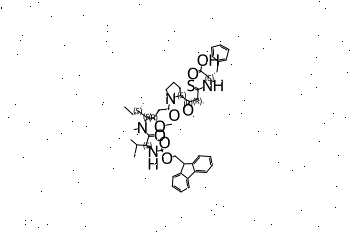 CC[C@H](C)[C@@H]([C@@H](CC(=O)N1CCC[C@H]1[C@H](OC)[C@@H](C)C(=S)N[C@@H](Cc1ccccc1)C(=O)O)OC)N(C)C(=O)[C@@H](NC(=O)OCC1c2ccccc2-c2ccccc21)C(C)C